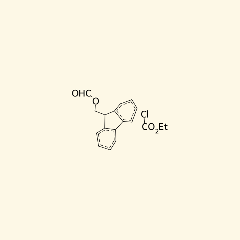 CCOC(=O)Cl.O=COCC1c2ccccc2-c2ccccc21